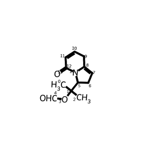 CC(C)(OC=O)C1CC=C2CC=CC(=O)N21